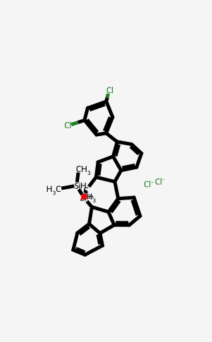 CCC1=Cc2c(-c3cc(Cl)cc(Cl)c3)cccc2C1c1cccc2c1[CH]([Zr+2][SiH](C)C)c1ccccc1-2.[Cl-].[Cl-]